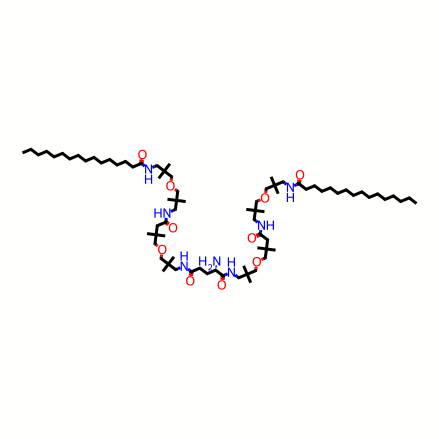 CCCCCCCCCCCCCCCC(=O)NCC(C)(C)COCC(C)(C)CNC(=O)CC(C)(C)COCC(C)(C)CNC(=O)CC[C@H](N)C(=O)NCC(C)(C)COCC(C)(C)CC(=O)NCC(C)(C)COCC(C)(C)CNC(=O)CCCCCCCCCCCCCCC